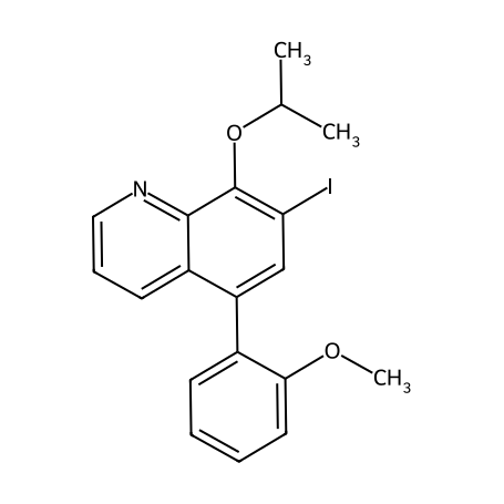 COc1ccccc1-c1cc(I)c(OC(C)C)c2ncccc12